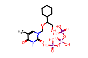 Cc1cn(COC(CO)C2CCCCC2)c(=O)[nH]c1=O.O=P(O)(O)OP(=O)(O)OP(=O)(O)O